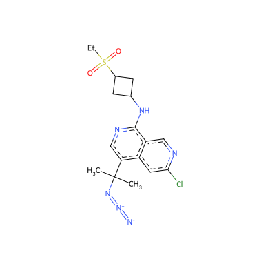 CCS(=O)(=O)C1CC(Nc2ncc(C(C)(C)N=[N+]=[N-])c3cc(Cl)ncc23)C1